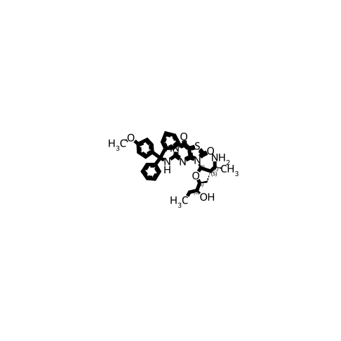 CC[C@H](O)[C@@H]1C[C@@H]([C@@H](C)N)[C@H](n2c(=O)sc3c(=O)[nH]c(NC(c4ccccc4)(c4ccccc4)c4ccc(OC)cc4)nc32)O1